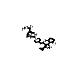 O=C(O)c1ccn2nc(N3CCC(/C=C/c4c(-c5c(Cl)cccc5Cl)noc4C4CC4)CC3)ncc12